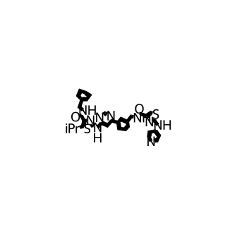 CC(C)c1sc(Nc2cc(-c3cccc(CNC(=O)c4csc(Nc5ccncc5)n4)c3)ncn2)nc1C(=O)NCc1ccccc1